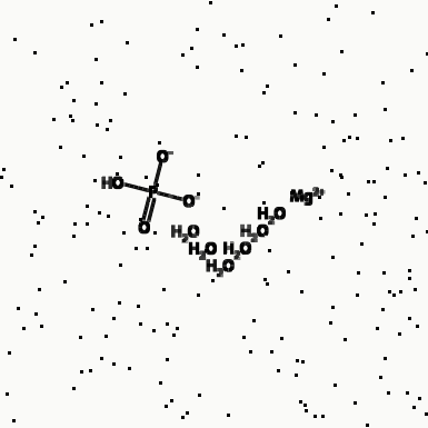 O.O.O.O.O.O.O=P([O-])([O-])O.[Mg+2]